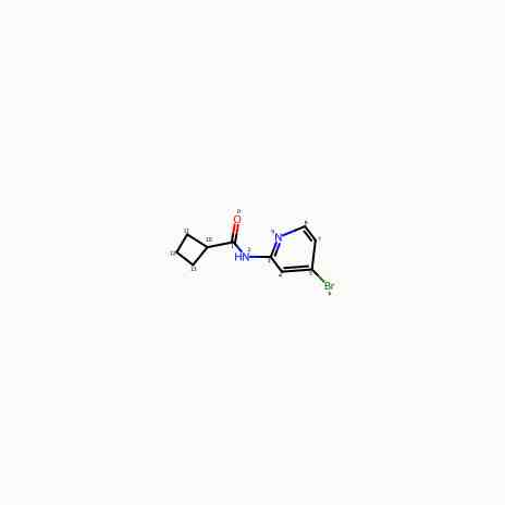 O=C(Nc1cc(Br)ccn1)C1CCC1